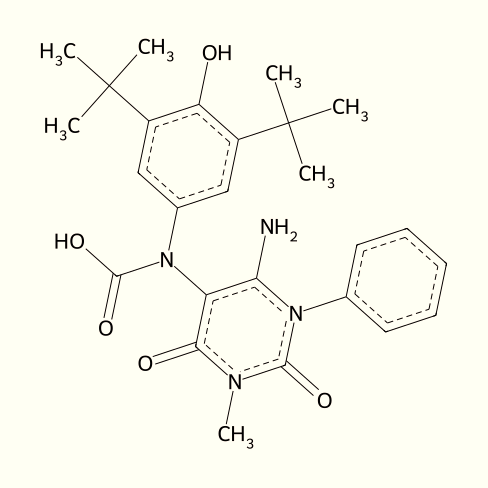 Cn1c(=O)c(N(C(=O)O)c2cc(C(C)(C)C)c(O)c(C(C)(C)C)c2)c(N)n(-c2ccccc2)c1=O